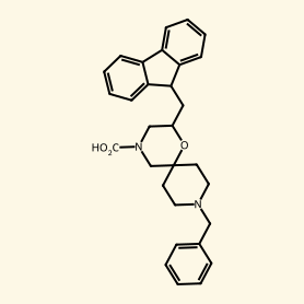 O=C(O)N1CC(CC2c3ccccc3-c3ccccc32)OC2(CCN(Cc3ccccc3)CC2)C1